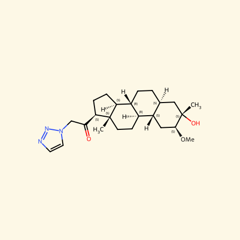 CO[C@H]1C[C@H]2[C@@H](CC[C@@H]3[C@@H]2CC[C@]2(C)[C@@H](C(=O)Cn4ccnn4)CC[C@@H]32)C[C@]1(C)O